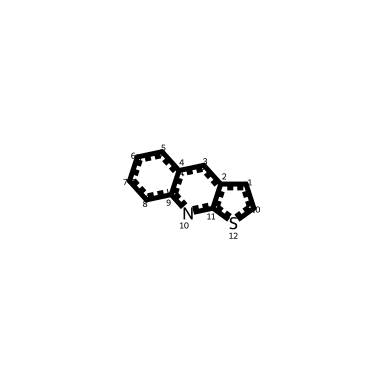 [c]1cc2cc3ccccc3nc2s1